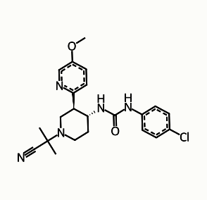 COc1ccc([C@@H]2CN(C(C)(C)C#N)CC[C@H]2NC(=O)Nc2ccc(Cl)cc2)nc1